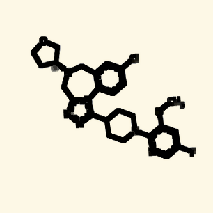 COc1cc(F)cnc1N1CCC(c2nnc3n2-c2ccc(Cl)cc2CN([C@H]2CCOC2)C3)CC1